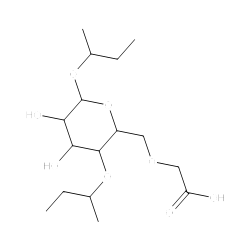 CCC(C)OC1OC(COCC(=O)O)C(OC(C)CC)C(O)C1O